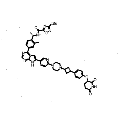 Cc1cc(-c2ncnc3[nH]c(-c4ccc(N5CCN(C6CC(c7ccc(O[C@@H]8CCC(=O)NC8=O)cc7)C6)CC5)nc4)cc23)ccc1[C@@H](C)NC(=O)c1nc(C(C)(C)C)no1